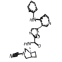 N#CN1CC2CC[C@]2(NC(=O)c2ncc(-c3cnccc3Nc3ccccc3)s2)C1